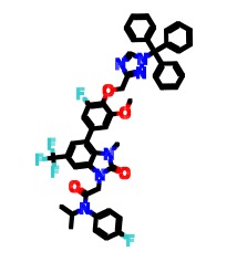 COc1cc(-c2cc(C(F)(F)F)cc3c2n(C)c(=O)n3CC(=O)N(c2ccc(F)cc2)C(C)C)cc(F)c1OCc1ncn(C(c2ccccc2)(c2ccccc2)c2ccccc2)n1